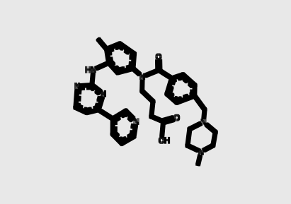 Cc1ccc(N(CCCC(=O)O)C(=O)c2ccc(CN3CCN(C)CC3)cc2)cc1Nc1nccc(-c2cccnc2)n1